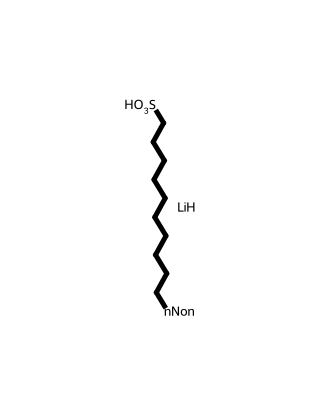 CCCCCCCCCCCCCCCCCCCS(=O)(=O)O.[LiH]